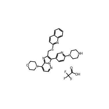 O=C(O)C(F)(F)F.c1ccc2nc(SCc3nc4c(N5CCOCC5)ccnn4c3-c3ccc(N4CCNCC4)nc3)ccc2c1